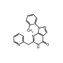 Cc1ccccc1-n1ncc2c(=O)[nH]c(Cc3ccccn3)nc21